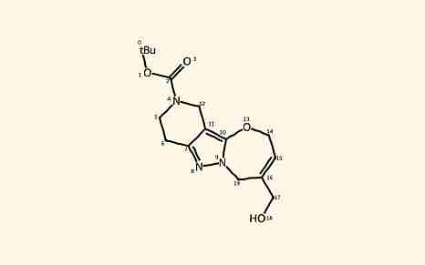 CC(C)(C)OC(=O)N1CCc2nn3c(c2C1)OCC=C(CO)C3